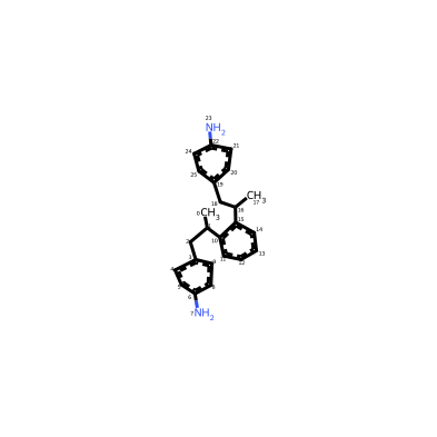 CC(Cc1ccc(N)cc1)c1ccccc1C(C)Cc1ccc(N)cc1